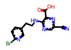 N#Cc1cnc(NCCc2ccc(Br)nc2)c(C(=O)O)n1